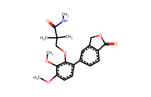 CNC(=O)C(C)(C)COc1c(-c2ccc3c(c2)COC3=O)ccc(OC)c1OC